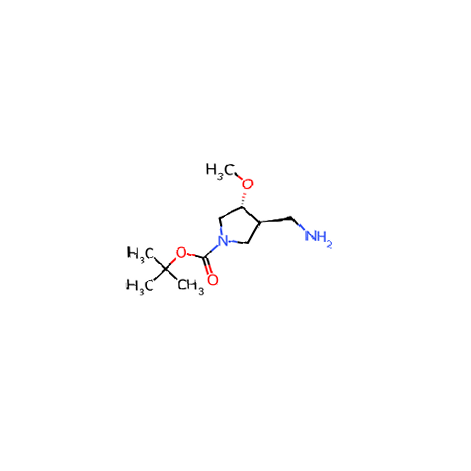 CO[C@H]1CN(C(=O)OC(C)(C)C)C[C@@H]1CN